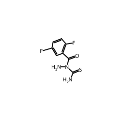 NC(=S)N(N)C(=O)c1cc(F)ccc1F